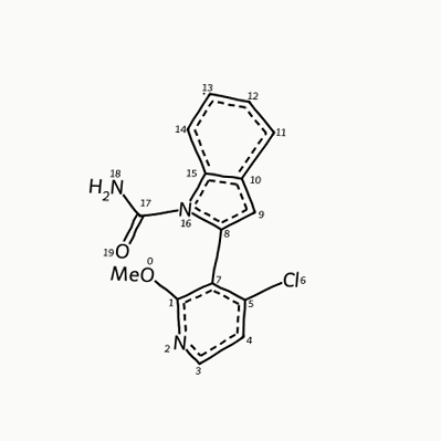 COc1nccc(Cl)c1-c1cc2cc[c]cc2n1C(N)=O